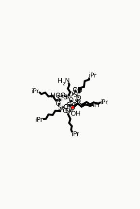 CC(C)CCCCC[Si]1(O)O[Si]2(CCCN)O[Si](O)(CCCCCC(C)C)O[Si@]3(CCCCCC(C)C)O[Si@](O)(CCCCCC(C)C)O[Si@](CCCCCC(C)C)(O1)O[Si@](CCCCCC(C)C)(O2)O3